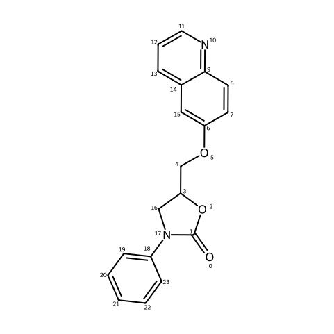 O=C1OC(COc2ccc3ncccc3c2)CN1c1ccccc1